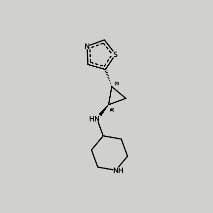 c1ncc([C@@H]2C[C@H]2NC2CCNCC2)s1